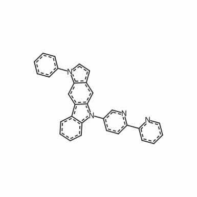 c1ccc(-n2ccc3cc4c(cc32)c2ccccc2n4-c2ccc(-c3ccccn3)nc2)cc1